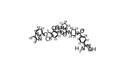 Cc1nc2c(OCc3c(Cl)ccc(S(=O)(=O)N4CCC[C@H]4C(=O)N4CCN(C(=O)c5ccc(C(N)=NO)cc5)CC4)c3Cl)cccn2c1C